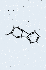 [CH2]c1ccc2c(c1)-c1ccccc1-2